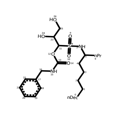 CCCCCCCCCCCCCCC(CCC)NS(=O)(=O)C(OC(=O)NCc1ccccc1)C(O)CO